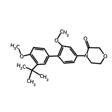 COc1cc(N2CCOCC2=O)ccc1-c1ccc(OC)c(C(C)(C)C)c1